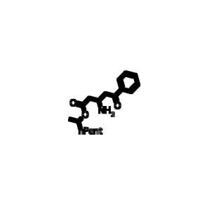 CCCCCC(C)OC(=O)CC(N)CC(=O)c1ccccc1